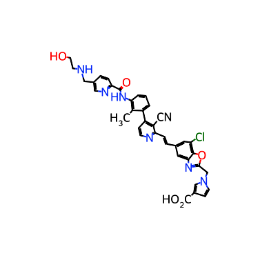 Cc1c(NC(=O)c2ccc(CNCCO)cn2)cccc1-c1ccnc(/C=C/c2cc(Cl)c3oc(Cn4ccc(C(=O)O)c4)nc3c2)c1C#N